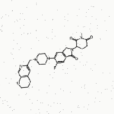 O=C1CCC(N2Cc3cc(N4CCN(Cc5cc6c(cn5)OCCC6)CC4)c(F)cc3C2=O)C(=O)N1